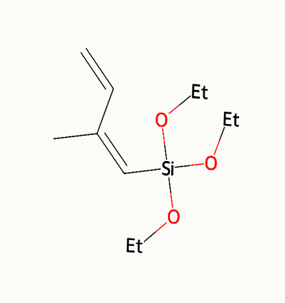 C=CC(C)=C[Si](OCC)(OCC)OCC